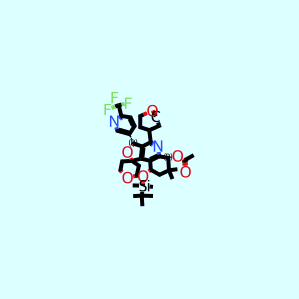 CC(=O)O[C@H]1c2nc(C3CCOCC3)c3c(c2C(O[Si](C)(C)C(C)(C)C)CC1(C)C)C1(CCOCC1)O[C@@H]3c1ccc(C(F)(F)F)nc1